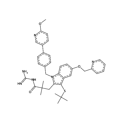 COc1ccc(-c2ccc(Cn3c(CC(C)(C)C(=O)NC(=N)N)c(SC(C)(C)C)c4cc(OCc5ccccn5)ccc43)cc2)cn1